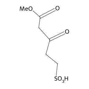 COC(=O)CC(=O)CCS(=O)(=O)O